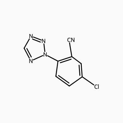 N#Cc1cc(Cl)ccc1-n1ncnn1